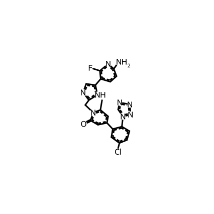 Cc1cc(-c2cc(Cl)ccc2-n2cnnn2)cc(=O)n1Cc1ncc(-c2ccc(N)nc2F)[nH]1